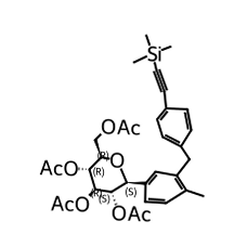 CC(=O)OC[C@H]1O[C@@H](c2ccc(C)c(Cc3ccc(C#C[Si](C)(C)C)cc3)c2)[C@H](OC(C)=O)[C@@H](OC(C)=O)[C@@H]1OC(C)=O